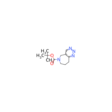 CC(C)(C)OC(=O)N1CCCc2nnncc2C1